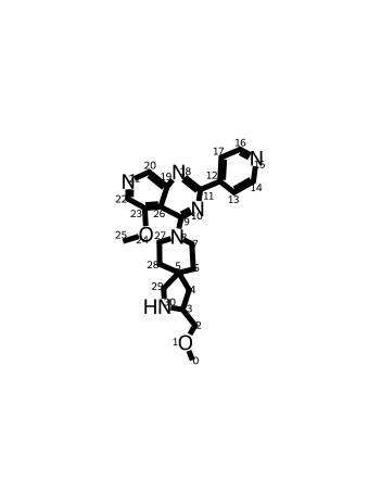 COCC1CC2(CCN(c3nc(-c4ccncc4)nc4cncc(OC)c34)CC2)CN1